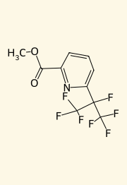 COC(=O)c1cccc(C(F)(C(F)(F)F)C(F)(F)F)n1